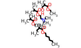 C=C(C)C(=O)OC.C=C(C)C(=O)OCCN(C)C.C=C(CC)C(=O)OCCCCCC.C=C(CO)C(=O)OCC